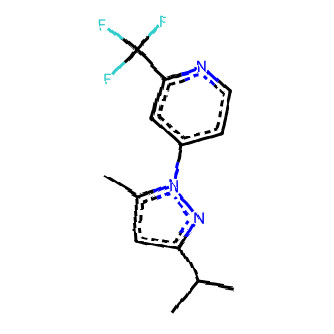 Cc1cc(C(C)C)nn1-c1ccnc(C(F)(F)F)c1